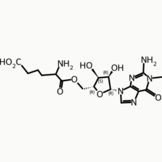 Cn1c(N)nc2c(ncn2[C@@H]2O[C@H](COC(=O)C(N)CCCC(=O)O)[C@@H](O)[C@H]2O)c1=O